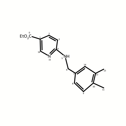 CCOC(=O)c1ccc(NCc2ccc(C)c(C)c2)nc1